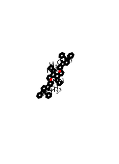 CC1(C)c2cc(-n3c4cccnc4c4c5ccccc5c5c(c6ccccc6c6c7ncccc7n(-c7ccc8c(c7)C(C)(C)c7c-8ccc8c9ccccc9n(-c9ccccc9)c78)c65)c43)ccc2-c2ccc3c4ccccc4n(-c4ccccc4)c3c21